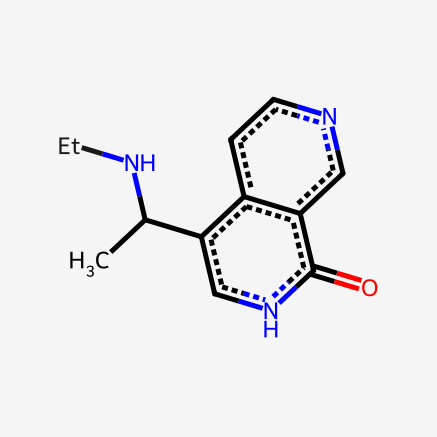 CCNC(C)c1c[nH]c(=O)c2cnccc12